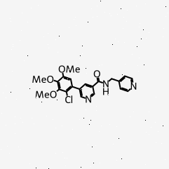 COc1cc(-c2cncc(C(=O)NCc3ccncc3)c2)c(Cl)c(OC)c1OC